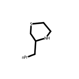 CCCCC1CSCCN1